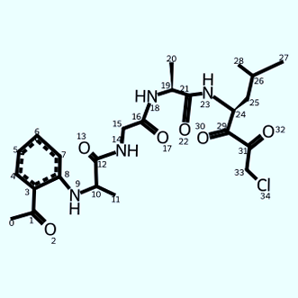 CC(=O)c1ccccc1NC(C)C(=O)NCC(=O)N[C@@H](C)C(=O)N[C@@H](CC(C)C)C(=O)C(=O)CCl